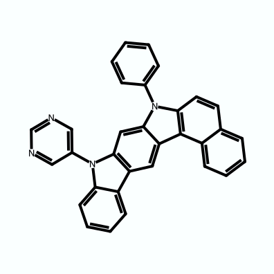 c1ccc(-n2c3cc4c(cc3c3c5ccccc5ccc32)c2ccccc2n4-c2cncnc2)cc1